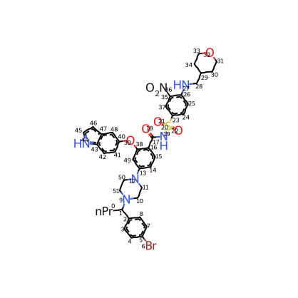 CCCC(c1ccc(Br)cc1)N1CCN(c2ccc(C(=O)NS(=O)(=O)c3ccc(NCC4CCOCC4)c([N+](=O)[O-])c3)c(Oc3ccc4[nH]ccc4c3)c2)CC1